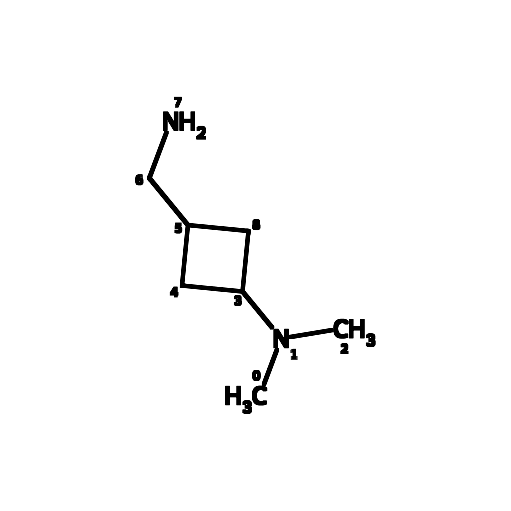 CN(C)C1CC(CN)C1